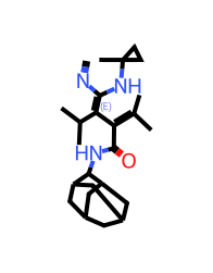 C=N/C(NC1(C)CC1)=C(/C(C(=O)NC1C2CC3CC(C2)CC1C3)=C(C)C)C(C)C